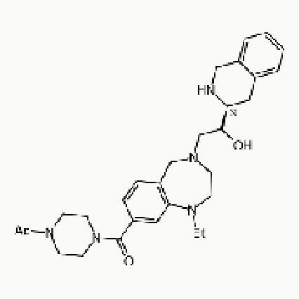 CCN1CCN(CC(O)[C@@H]2Cc3ccccc3CN2)Cc2ccc(C(=O)N3CCN(C(C)=O)CC3)cc21